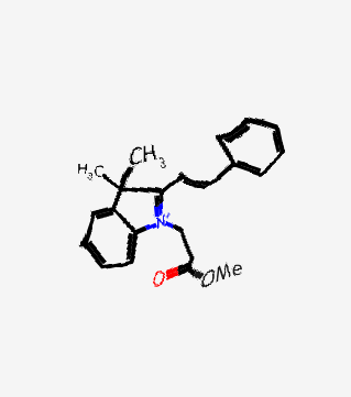 COC(=O)C[N+]1=C(C=Cc2ccccc2)C(C)(C)c2ccccc21